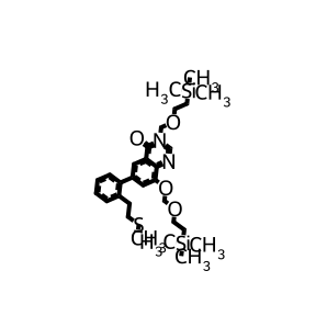 CSCCc1ccccc1-c1cc(OCOCC[Si](C)(C)C)c2ncn(COCC[Si](C)(C)C)c(=O)c2c1